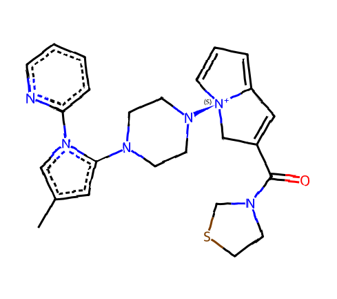 Cc1cc(N2CCN([N@@+]34C=CC=C3C=C(C(=O)N3CCSC3)C4)CC2)n(-c2ccccn2)c1